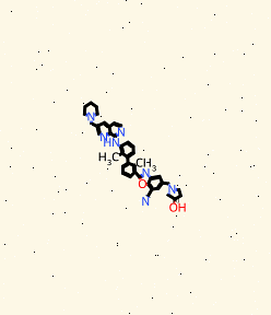 Cc1c(Nc2nccc3cc(CN4CCCCC4)cnc23)cccc1-c1cccc(-c2nc3cc(CN4CC[C@@H](O)C4)cc(C#N)c3o2)c1C